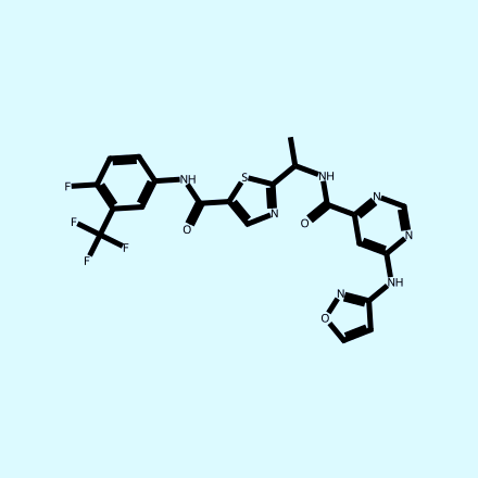 CC(NC(=O)c1cc(Nc2ccon2)ncn1)c1ncc(C(=O)Nc2ccc(F)c(C(F)(F)F)c2)s1